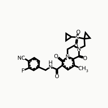 Cc1cc(C(=O)NCc2ccc(C#N)c(F)c2)c(=O)n2c1C(=O)N(CC1(S(=O)(=O)C3CC3)CC1)CC2